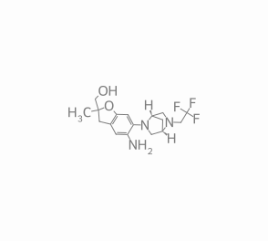 CC1(CO)Cc2cc(N)c(N3C[C@@H]4C[C@H]3CN4CC(F)(F)F)cc2O1